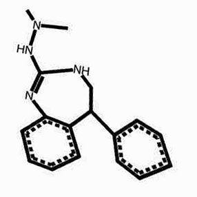 CN(C)NC1=Nc2ccccc2C(c2ccccc2)CN1